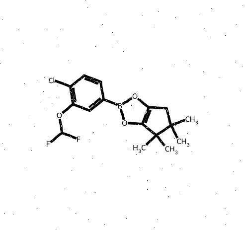 CC1(C)CC2=C(OB(c3ccc(Cl)c(OC(F)F)c3)O2)C1(C)C